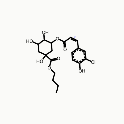 CCCCOC(=O)C1(O)CC(O)C(O)C(OC(=O)/C=C\c2ccc(O)c(O)c2)C1